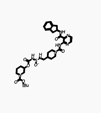 CC(C)(C)OC(=O)N1CCCC(OC(=O)N[S+]([O-])NCC2CCN(C(=O)Nc3nccnc3C(=O)NC3Cc4ccccc4C3)CC2)C1